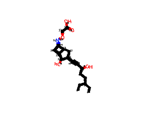 CCC(CC)CCC(O)C#CC1CC2C(=NOCC(=O)O)CC2C1O